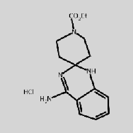 CCOC(=O)N1CCC2(CC1)N=C(N)c1ccccc1N2.Cl